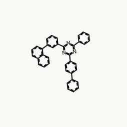 c1ccc(-c2ccc(-c3nc(-c4ccccc4)nc(-c4cccc(-c5cccc6ccccc56)c4)n3)cc2)cc1